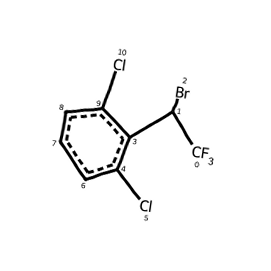 FC(F)(F)C(Br)c1c(Cl)cccc1Cl